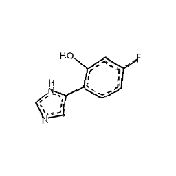 Oc1cc(F)ccc1-c1cnc[nH]1